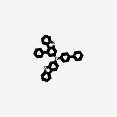 c1ccc(-c2ccc(N(c3ccc4c(c3)sc3ccccc34)c3cc(-c4ccccc4)c4c(c3)sc3ccccc34)cc2)cc1